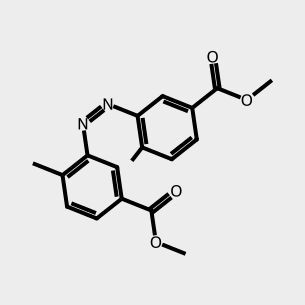 COC(=O)c1ccc(C)c(/N=N\c2cc(C(=O)OC)ccc2C)c1